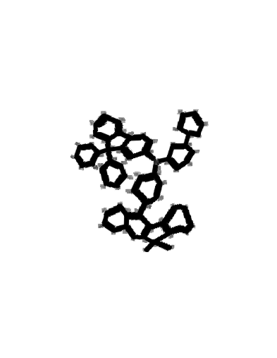 CC1(C)c2ccccc2-c2c1cc1ccccc1c2-c1ccc(N(c2cccc(-c3ccccc3)c2)c2ccc3c(c2)C(c2ccccc2)(c2ccccc2)c2ccccc2-3)cc1